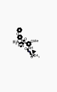 COc1cc(NC(=O)/C=C/C[N+](C)([O-])C2CC2)cc(-n2c(=O)n(-c3ccc(Oc4ccccc4)cc3C)c3c(N)ncnc32)c1